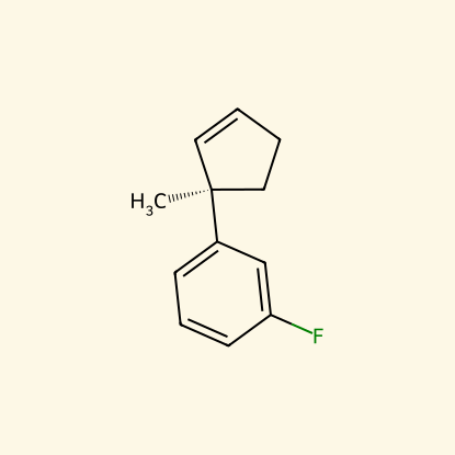 C[C@]1(c2cccc(F)c2)C=CCC1